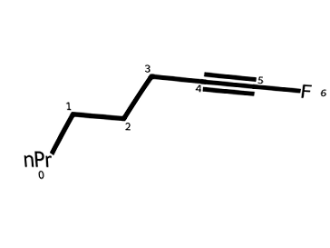 [CH2]CCCCCC#CF